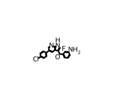 Nc1cccc(C(=O)c2c[nH]c3ncc(-c4ccc(Cl)cc4)cc23)c1F